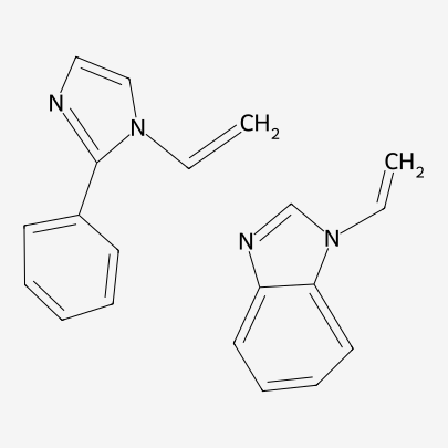 C=Cn1ccnc1-c1ccccc1.C=Cn1cnc2ccccc21